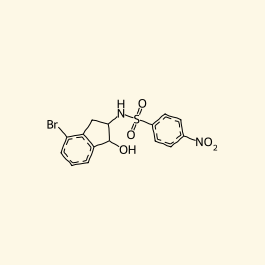 O=[N+]([O-])c1ccc(S(=O)(=O)NC2Cc3c(Br)cccc3C2O)cc1